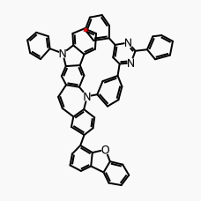 C1=Cc2cc3c(cc2N(c2cccc(-c4cc(-c5ccccc5)nc(-c5ccccc5)n4)c2)c2ccc(-c4cccc5c4oc4ccccc45)cc21)c1ccccc1n3-c1ccccc1